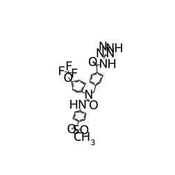 CS(=O)(=O)c1ccc(NC(=O)N(Cc2ccc(C(=O)Nc3nn[nH]n3)cc2)c2ccc(OC(F)(F)F)cc2)cc1